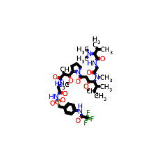 CCC(C)C(C(CC(=O)N1CCCC1C(OC)C(C)C(=O)NCC(=O)NS(=O)(=O)Cc1ccc(NC(=O)C(F)(F)F)cc1)OC)N(C)C(=O)CNC(=O)C(C(C)C)N(C)C